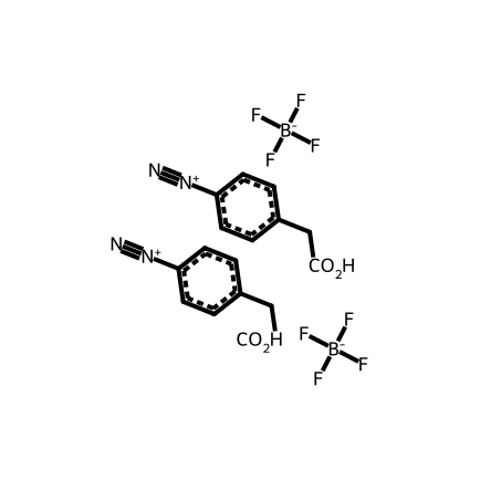 F[B-](F)(F)F.F[B-](F)(F)F.N#[N+]c1ccc(CC(=O)O)cc1.N#[N+]c1ccc(CC(=O)O)cc1